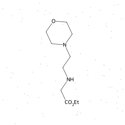 CCOC(=O)CNCCN1CCOCC1